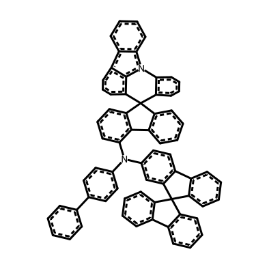 c1ccc(-c2ccc(N(c3ccc4c(c3)C3(c5ccccc5-c5ccccc53)c3ccccc3-4)c3cccc4c3-c3ccccc3C43c4ccccc4-n4c5ccccc5c5cccc3c54)cc2)cc1